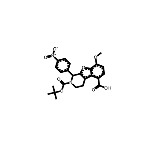 COc1ccc(C(=O)O)c2c3c(oc12)C(c1ccc([N+](=O)[O-])cc1)N(C(=O)OC(C)(C)C)CC3